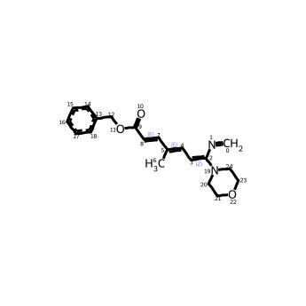 C=N\C(=C/C=C(C)/C=C/C(=O)OCc1ccccc1)N1CCOCC1